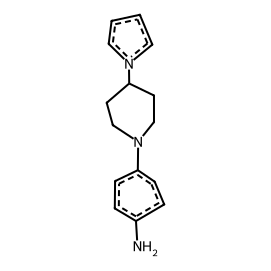 Nc1ccc(N2CCC(n3cccc3)CC2)cc1